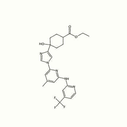 CCOC(=O)C1CCC(O)(c2cn(-c3cc(C)cc(Nc4cc(C(F)(F)F)ccn4)n3)cn2)CC1